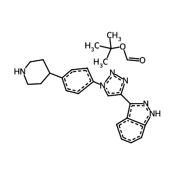 CC(C)(C)OC=O.c1ccc2c(-c3cn(-c4ccc(C5CCNCC5)cc4)nn3)n[nH]c2c1